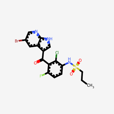 CCCS(=O)(=O)Nc1ccc(F)c(C(=O)c2c[nH]c3ncc(Br)cc23)c1Cl